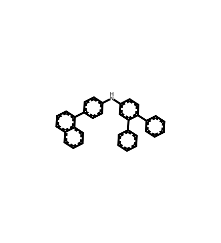 c1ccc(-c2ccc(Nc3ccc(-c4cccc5ccccc45)cc3)cc2-c2ccccc2)cc1